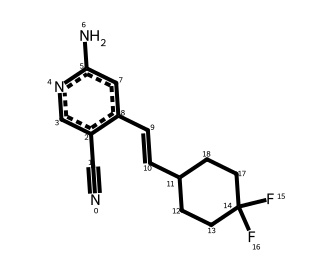 N#Cc1cnc(N)cc1C=CC1CCC(F)(F)CC1